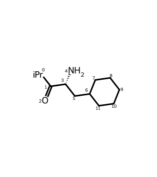 CC(C)C(=O)[C@H](N)CC1CCCCC1